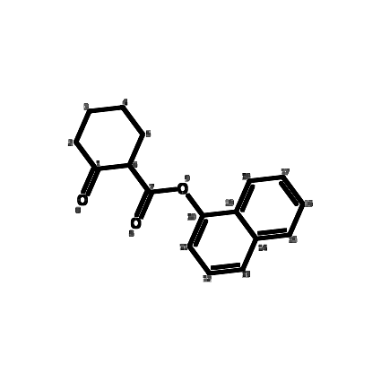 O=C1CCCCC1C(=O)Oc1cccc2ccccc12